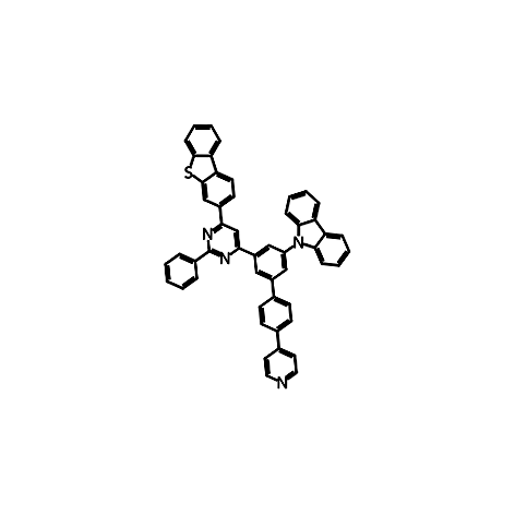 c1ccc(-c2nc(-c3cc(-c4ccc(-c5ccncc5)cc4)cc(-n4c5ccccc5c5ccccc54)c3)cc(-c3ccc4c(c3)sc3ccccc34)n2)cc1